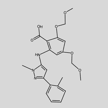 COCOc1cc(Nc2cc(-c3ccccc3C)nn2C)c(C(=O)O)c(OCOC)c1